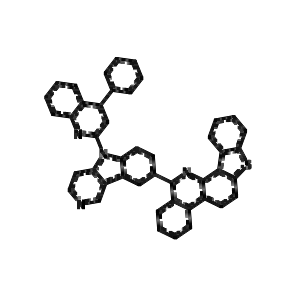 c1ccc(-c2cc(-n3c4ccncc4c4cc(-c5nc6c(ccc7sc8ccccc8c76)c6ccccc56)ccc43)nc3ccccc23)cc1